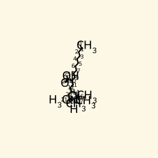 CCCCCCCCCCC(CCC1CC(C)(C)NC(C)(C)C1)C(=O)O